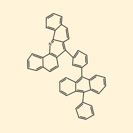 c1ccc(-c2c3ccccc3c(-c3cccc(-c4c5ccc6ccccc6c5nc5c4ccc4ccccc45)c3)c3ccccc23)cc1